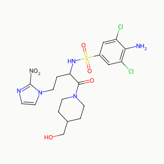 Nc1c(Cl)cc(S(=O)(=O)NC(CCn2ccnc2[N+](=O)[O-])C(=O)N2CCC(CO)CC2)cc1Cl